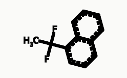 CC(F)(F)c1cccc2ccccc12